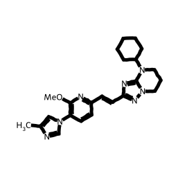 COc1nc(C=Cc2nc3n(n2)CCCN3C2CCCCC2)ccc1-n1cnc(C)c1